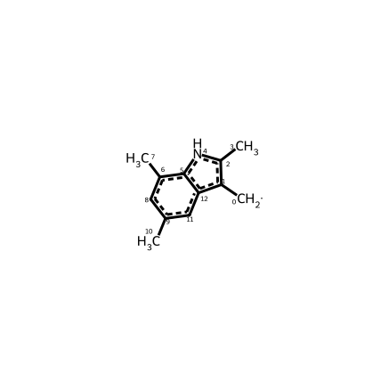 [CH2]c1c(C)[nH]c2c(C)cc(C)cc12